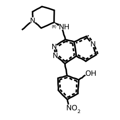 CN1CCC[C@@H](Nc2nnc(-c3ccc([N+](=O)[O-])cc3O)c3ccncc23)C1